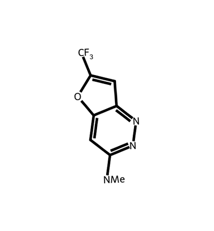 CNc1cc2oc(C(F)(F)F)cc2nn1